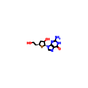 Nc1nc2c(ncn2[C@@H]2S[C@H](CCO)C[C@H]2O)c(=O)[nH]1